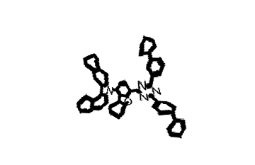 c1ccc(-c2ccc(-c3nc(-c4cccc(-c5ccccc5)c4)nc(-c4ccc(-n5c6cc7ccccc7cc6c6c7ccccc7ccc65)c5c4oc4ccccc45)n3)cc2)cc1